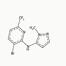 Cn1nccc1Nc1nc(C(F)(F)F)ccc1Br